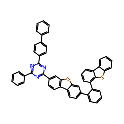 c1ccc(-c2ccc(-c3nc(-c4ccccc4)nc(-c4ccc5c(c4)sc4cc(-c6ccccc6-c6cccc7c6sc6ccccc67)ccc45)n3)cc2)cc1